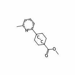 COC(=O)C12CCC(c3cccc(C)n3)(CC1)CC2